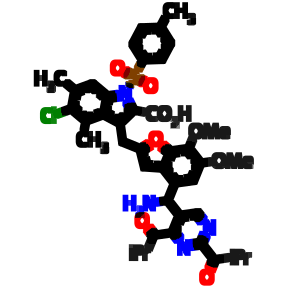 COc1cc(C(N)c2cnc(C(=O)C(C)C)nc2C(=O)C(C)C)c2cc(Cc3c(C(=O)O)n(S(=O)(=O)c4ccc(C)cc4)c4cc(C)c(Cl)c(C)c34)oc2c1OC